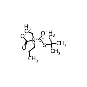 CCC[N+](CC)(C(=O)[O-])[S+]([O-])SC(C)(C)C